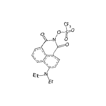 CCN(CC)c1ccc2c3c(cccc13)C(=O)N(OS(=O)(=O)C(F)(F)F)C2=O